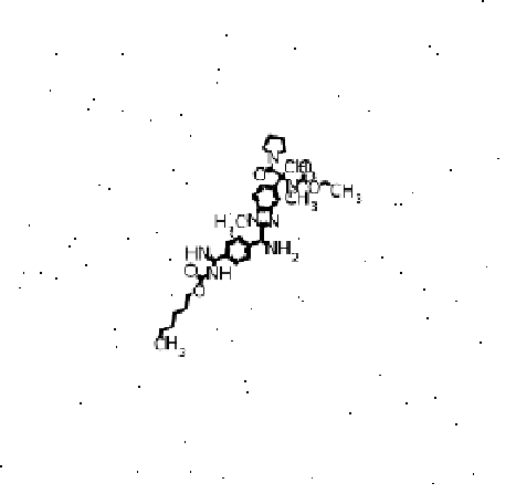 CCCCCCOC(=O)NC(=N)c1ccc(C(N)c2nc3cc(C(C)(C(=O)N4CCCC4)N(C)C(=O)OCC)ccc3n2C)cc1